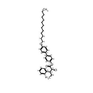 CCCCCCCCCCCCCOc1ccc(-c2ccc(OC(=O)C(Cl)C(CC)c3ccccc3)cc2)cc1